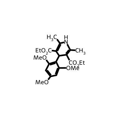 CCOC(=O)C1=C(C)NC(C)=C(C(=O)OCC)C1c1c(OC)cc(OC)cc1OC